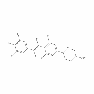 CCCC1CCC(c2cc(F)c(/C(F)=C(\F)c3cc(F)c(F)c(F)c3)c(F)c2)OC1